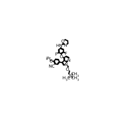 CC(C)Oc1ccc(-c2cn(COCC[Si](C)(C)C)c3nccc(Oc4c(F)cc(NC5=NCCCO5)cc4F)c23)cc1C#N